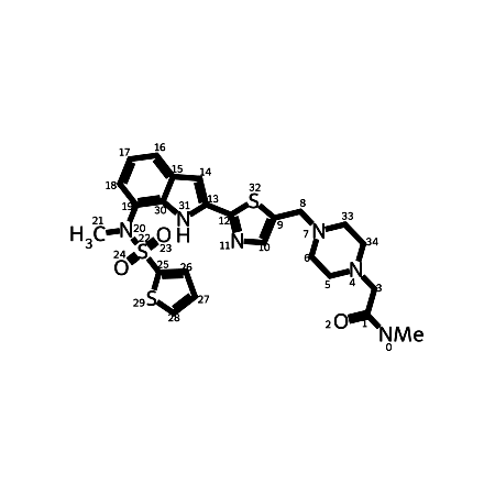 CNC(=O)CN1CCN(Cc2cnc(-c3cc4cccc(N(C)S(=O)(=O)c5cccs5)c4[nH]3)s2)CC1